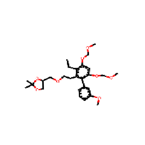 CCc1c(OCOC)cc(OCOC)c(-c2cccc(OC)c2)c1CCOCC1COC(C)(C)O1